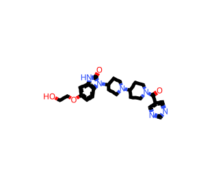 O=C(c1cncnc1)N1CCC(N2CCC(n3c(=O)[nH]c4cc(OCCO)ccc43)CC2)CC1